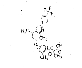 Cc1cc(OCCC(C)c2cn(-c3ccc(C(F)(F)F)cc3)nc2C)ccc1OC(C)(C)C(=O)O